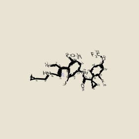 N=C/C(=C\NCC1CC1)c1c(F)cc(NC(=O)C2(c3ccc(OC(F)(F)F)cc3F)CC2)cc1C(=O)O